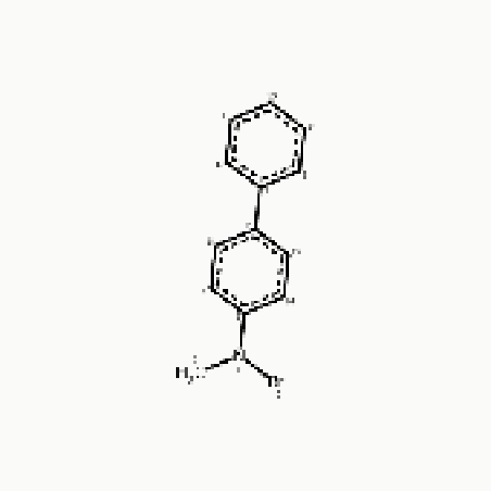 CN(Br)c1ccc(-c2ccccc2)cc1